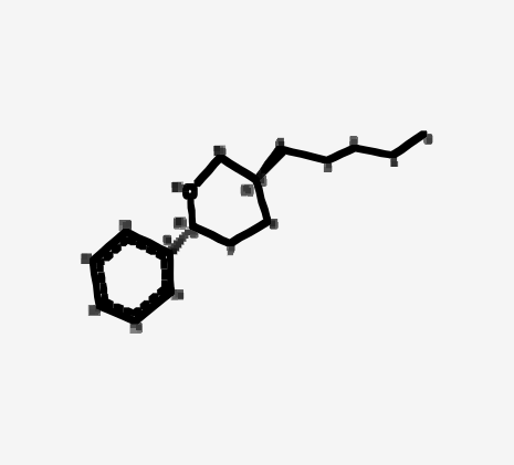 CCCCC[C@H]1CC[C@H](c2ccccc2)OC1